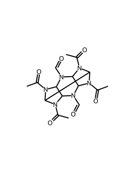 CC(=O)N1C2C3N(C=O)C4C(N2C=O)N(C(C)=O)C(C1N3C(C)=O)N4C(C)=O